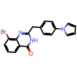 O=c1[nH]c(Cc2ccc(-n3cccc3)cc2)nc2c(Br)cccc12